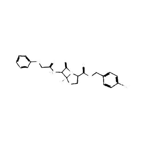 O=C(COc1ccccc1)NC1C(=O)N2C(C(=O)OCc3ccc([N+](=O)[O-])cc3)CS[C@H]12